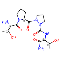 C[C@@H](O)[C@H](N)C(=O)N1CCC[C@H]1C(=O)N1CCCN1C(=O)N[C@H](C(N)=O)[C@@H](C)O